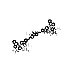 Cc1cc(C)cc(N(c2ccc3c(c2)C(C)(C)c2cc(/C=C/c4ccc5c(c4)C(C)(C)c4cc(/C=C/c6ccc7c(c6)C(C)(C)c6cc(N(c8cc(C)cc(C)c8)c8cc9ccccc9c9ccccc89)ccc6-7)ccc4-5)ccc2-3)c2cc3ccccc3c3ccccc23)c1